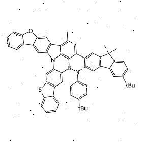 Cc1cc2c3c4c1c1cc5oc6ccccc6c5cc1n4-c1cc4sc5ccccc5c4cc1B3N(c1ccc(C(C)(C)C)cc1)c1cc3c(cc1-2)C(C)(C)c1ccc(C(C)(C)C)cc1-3